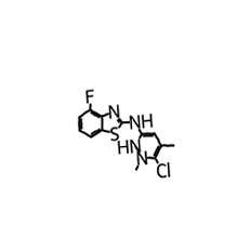 CC1=C(Cl)N(C)NC(Nc2nc3c(F)cccc3s2)=C1